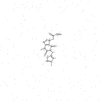 COC(=O)Cn1cnc2c1c(=O)n(Cc1nc(C)no1)c(=O)n2C